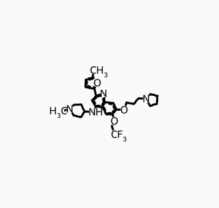 Cc1ccc(-c2cc(NC3CCN(C)CC3)c3cc(OCC(F)(F)F)c(OCCCN4CCCC4)cc3n2)o1